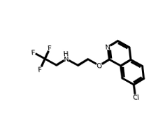 FC(F)(F)CNCCOc1nccc2ccc(Cl)cc12